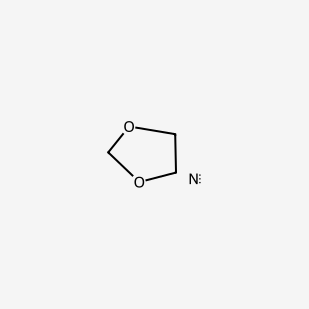 C1COCO1.[N]